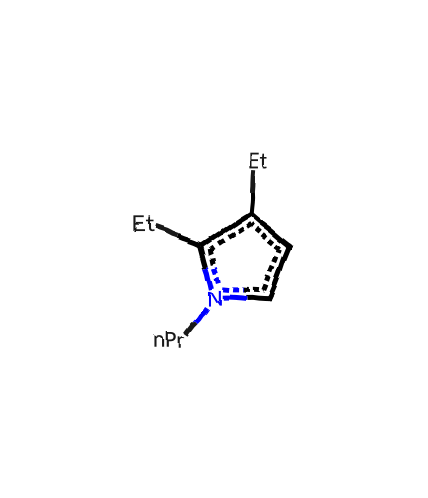 CCCn1ccc(CC)c1CC